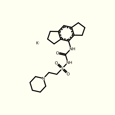 O=C(Nc1c2c(cc3c1CCC3)CCC2)NS(=O)(=O)CCN1CCCCC1.[K]